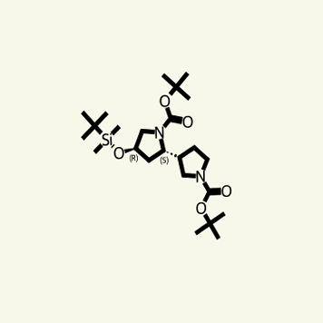 CC(C)(C)OC(=O)N1CCC([C@@H]2C[C@@H](O[Si](C)(C)C(C)(C)C)CN2C(=O)OC(C)(C)C)C1